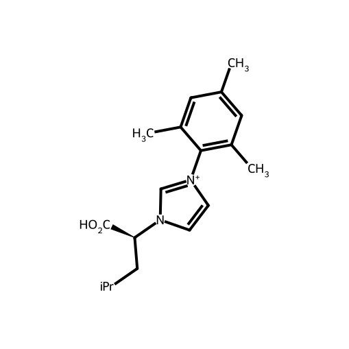 Cc1cc(C)c(-[n+]2ccn([C@@H](CC(C)C)C(=O)O)c2)c(C)c1